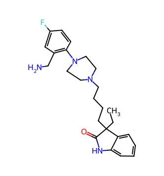 CCC1(CCCCN2CCN(c3ccc(F)cc3CN)CC2)C(=O)Nc2ccccc21